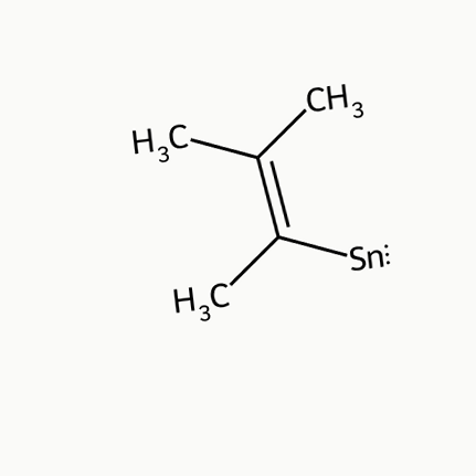 CC(C)=[C](C)[Sn]